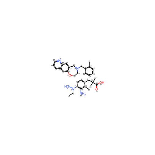 CCN(N)c1ccc(C(c2ccc(C)c(CN3CCOc4cc5cccnc5cc4C3)c2)C(C)(C)C(=O)O)c(C)c1N